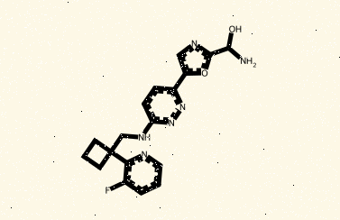 NC(O)c1ncc(-c2ccc(NCC3(c4ncccc4F)CCC3)nn2)o1